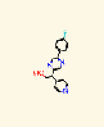 OCC(c1ccncc1)c1cnc(-c2ccc(F)cc2)cn1